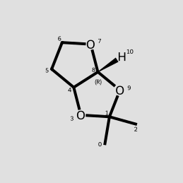 CC1(C)OC2CCO[C@@H]2O1